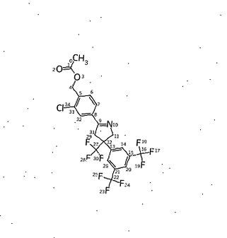 CC(=O)OCc1ccc(C2=NCC(c3cc(C(F)(F)F)cc(C(F)(F)F)c3)(C(F)(F)F)C2)cc1Cl